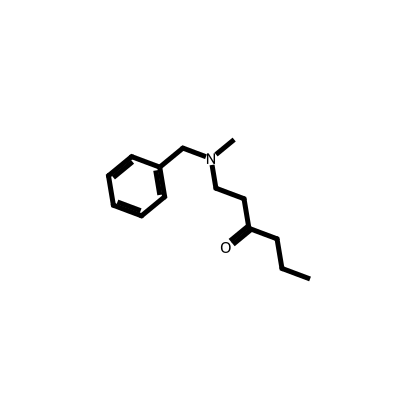 CCCC(=O)CCN(C)Cc1ccccc1